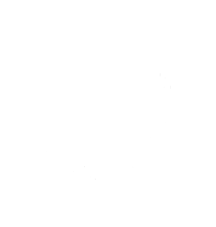 CC1(C)c2cc(-c3ccccc3)ccc2-c2ccc(-c3cccc4c5c(oc34)-c3oc4c(-c6ccc7c(c6)C(C)(C)c6cc(C8C=CC=CC8)ccc6-7)cccc4c3CC5)cc21